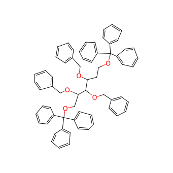 c1ccc(COC(CCOC(c2ccccc2)(c2ccccc2)c2ccccc2)C(OCc2ccccc2)C(COC(c2ccccc2)(c2ccccc2)c2ccccc2)OCc2ccccc2)cc1